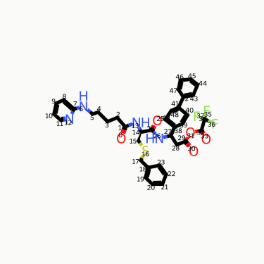 O=C(CCCCNc1ccccn1)N[C@H](CSCc1ccccc1)C(=O)NC(CC(=O)OC(=O)C(F)(F)F)c1ccc(-c2ccccc2)cc1